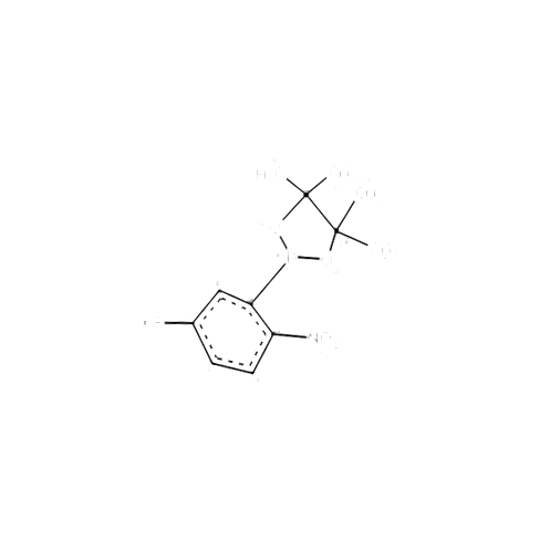 CC1(C)OB(c2cc(F)ccc2[N+](=O)[O-])OC1(C)C